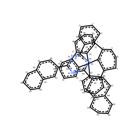 c1ccc(-c2cccc3c2C2(c4ccccc4-c4ccccc42)c2ccccc2-3)c(-c2nc(-c3ccc4ccccc4c3)nc(-c3ccc4ccccc4c3)n2)c1